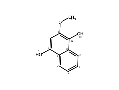 COc1cc(O)c2ccccc2c1O